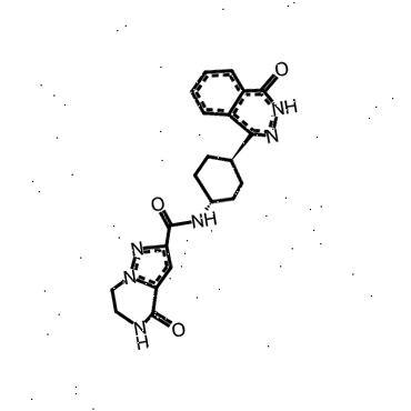 O=C(N[C@H]1CC[C@H](c2n[nH]c(=O)c3ccccc32)CC1)c1cc2n(n1)CCNC2=O